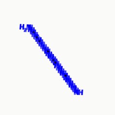 N=N/N=N/N=N/N=N/N=N/N=N/N=N/N=N/N=N/N=N/N=N/N=N/N=N/N=N/N=N/N=N/N=N/N=N/N=N/N=N/N=N/N=N/N=N/N=N/N=N/N=N/N=N/N